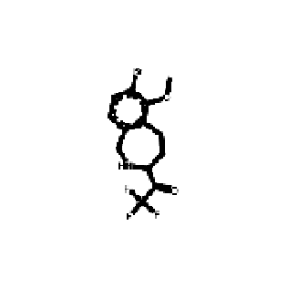 COc1c(Br)ccc2c1CCC(C(=O)C(F)(F)F)NC2